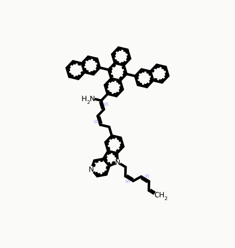 C=C/C=C\C=C/Cn1c2ccncc2c2cc(C/C=C\C=C(/N)c3ccc4c(-c5ccc6ccccc6c5)c5ccccc5c(-c5ccc6ccccc6c5)c4c3)ccc21